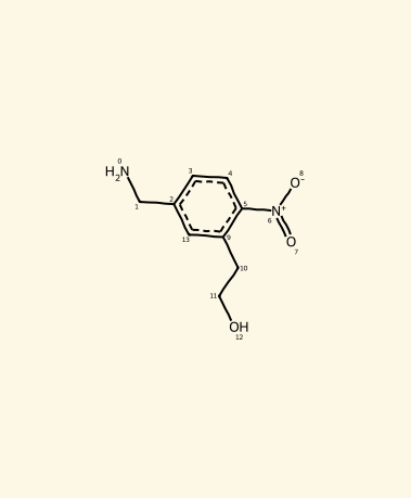 NCc1ccc([N+](=O)[O-])c(CCO)c1